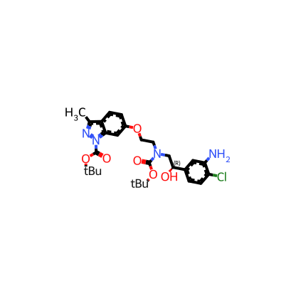 Cc1nn(C(=O)OC(C)(C)C)c2cc(OCCN(C[C@H](O)c3ccc(Cl)c(N)c3)C(=O)OC(C)(C)C)ccc12